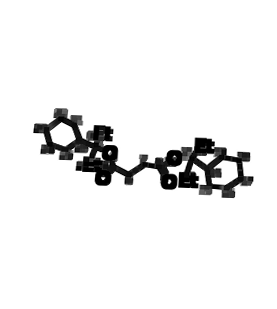 CCC(CC)(OC(=O)CCC(=O)OC(CC)(CC)C1CCCCC1)C1CCCCC1